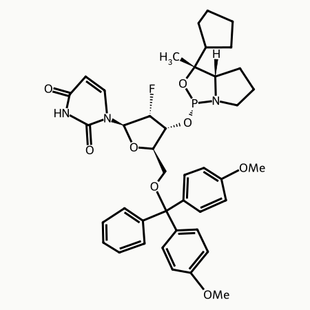 COc1ccc(C(OC[C@H]2O[C@@H](n3ccc(=O)[nH]c3=O)[C@H](F)[C@@H]2O[P@]2O[C@](C)(C3CCCC3)[C@@H]3CCCN32)(c2ccccc2)c2ccc(OC)cc2)cc1